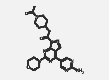 CC(=O)N1CCC(CC(=O)n2ncc3c(-c4cnc(N)nc4)nc(N4CCOCC4)nc32)CC1